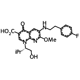 COc1nc2c(cc1NCCc1ccc(F)cc1)c(=O)c(C(=O)O)cn2[C@H](CO)C(C)C